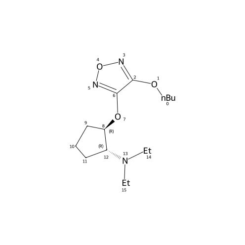 CCCCOc1nonc1O[C@@H]1CCC[C@H]1N(CC)CC